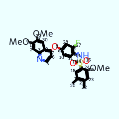 COc1cc2nccc(Oc3ccc(NS(=O)(=O)c4cc(C)c(C)cc4OC)c(F)c3)c2cc1OC